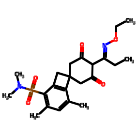 CCON=C(CC)C1C(=O)CC2(CC1=O)Cc1c2c(C)cc(C)c1S(=O)(=O)N(C)C